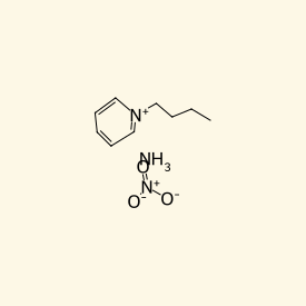 CCCC[n+]1ccccc1.N.O=[N+]([O-])[O-]